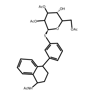 CC(=O)NC1CCC(c2cccc(S[C@@H]3OC(COC(C)=O)[C@@H](O)C(OC(C)=O)C3OC(C)=O)c2)c2ccccc21